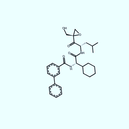 CC(C)C[C@H](NC(=O)[C@@H](NC(=O)c1cccc(-c2ccccc2)c1)C1CCCCC1)C(=O)[C@]1(CO)CO1